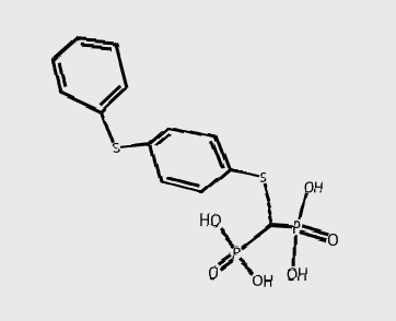 O=P(O)(O)C(Sc1ccc(Sc2ccccc2)cc1)P(=O)(O)O